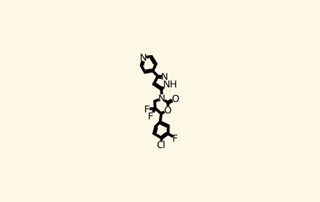 O=C1OC(c2ccc(Cl)c(F)c2)C(F)(F)CN1c1cc(-c2ccncc2)n[nH]1